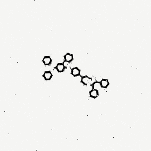 c1ccc(-c2nc3cc(-c4ccc(-n5c6ccccc6c6cc(N(c7ccccc7)c7ccccc7)ccc65)cc4)ccn3c2-c2ccccc2)cc1